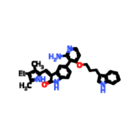 CCc1c(C)[nH]c(C=C2C(=O)Nc3ccc(-c4c(OCCCc5c[nH]c6ccccc56)ccnc4N)cc32)c1C